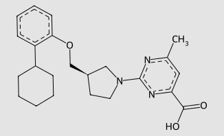 Cc1cc(C(=O)O)nc(N2CC[C@@H](COc3ccccc3C3CCCCC3)C2)n1